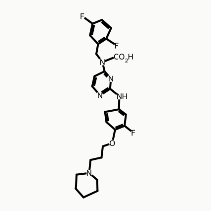 O=C(O)N(Cc1cc(F)ccc1F)c1ccnc(Nc2ccc(OCCCN3CCCCC3)c(F)c2)n1